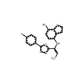 CC=C(Nc1ccc(C#N)c2sccc12)c1nnc(-c2ccc(F)cc2)o1